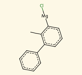 Cc1[c]([Mg][Cl])cccc1-c1ccccc1